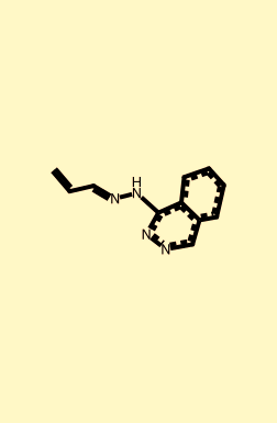 C=C/C=N/Nc1nncc2ccccc12